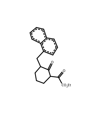 CCOC(=O)C(=O)C1CCCC(Cc2cccc3ccccc23)C1=O